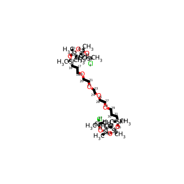 C[Si](C)(Cl)O[Si](C)(C)O[Si](C)(C)O[Si](C)(C)CCCOCCOCCOCCOCCC[Si](C)(C)O[Si](C)(C)O[Si](C)(C)O[Si](C)(C)Cl